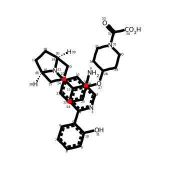 Nc1cnc(-c2ccccc2O)cc1N1C[C@H]2CC[C@@H](C1)N2c1cccc(OC2CCN(C(=O)C(=O)O)CC2)c1